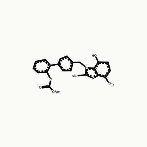 CCCCc1nc2c(C)ccc(O)c2n1Cc1ccc(-c2ccccc2OC(=O)OC)cc1